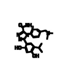 CC(C)c1cc(-c2nnc(C(N)=O)n2-c2ccc(CN(C)C)cc2)c(O)cc1O